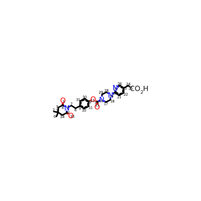 CC1(C)CC(=O)N(CCc2ccc(OC(=O)N3CCN(c4ccc(CC(=O)O)cn4)CC3)cc2)C(=O)C1